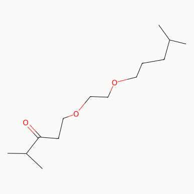 CC(C)CCCOCCOCCC(=O)C(C)C